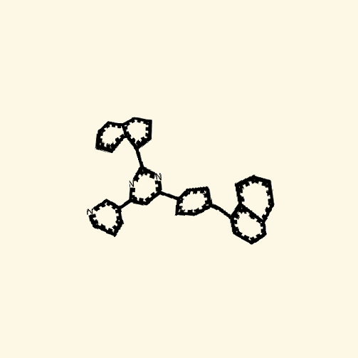 c1cncc(-c2cc(-c3ccc(-c4cccc5ccccc45)cc3)nc(-c3cccc4ccccc34)n2)c1